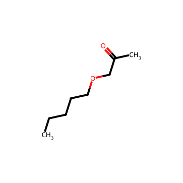 CCCCCOCC(C)=O